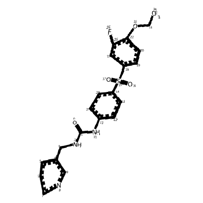 O=C(NCc1cccnc1)Nc1ccc(S(=O)(=O)c2ccc(OCC(F)(F)F)c(F)c2)cc1